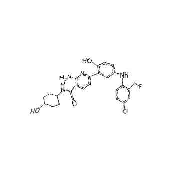 Nc1nc(-c2cc(Nc3ccc(Cl)cc3CF)ccc2O)ccc1C(=O)NC1CCC(O)CC1